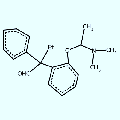 CCC(C=O)(c1ccccc1)c1ccccc1OC(C)N(C)C